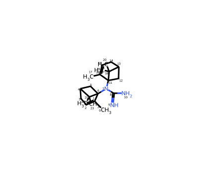 CC1=CCC2CC1(N(C(=N)N)C13CC(CC=C1C)C3(C)C)C2(C)C